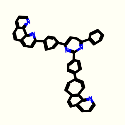 C1=Cc2c(ccc3cccnc23)C=CC=1c1ccc(C2=NC(c3ccc(-c4ccc5ccc6cccnc6c5n4)cc3)=CCC(c3ccccc3)=N2)cc1